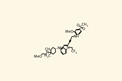 COCCN(C)[C@]1(C)CC[C@H](Nc2cccc3c2cc(C#CCNc2ccc(S(C)(=O)=O)cc2OC)n3CC(F)(F)F)CC1